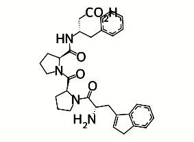 N[C@@H](CC1=CCc2ccccc21)C(=O)N1CCC[C@H]1C(=O)N1CCC[C@H]1C(=O)N[C@H](CC(=O)O)Cc1ccccc1